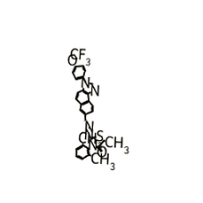 Cc1cccc(C)c1N1C(=O)C(C)S/C1=N\N=C\c1ccc2c(ccc3c2ncn3-c2ccc(OC(F)(F)F)cc2)c1